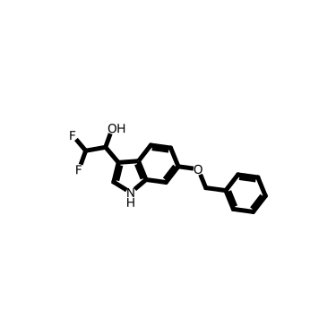 OC(c1c[nH]c2cc(OCc3ccccc3)ccc12)C(F)F